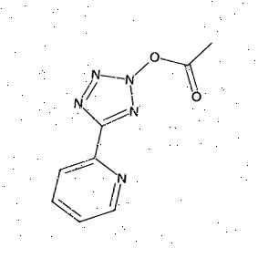 CC(=O)On1nnc(-c2ccccn2)n1